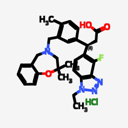 CCn1nnc2c(F)c([C@H](CC(=O)O)c3ccc(C)c(CN4Cc5ccccc5OC(C)(C)C4)c3)ccc21.Cl